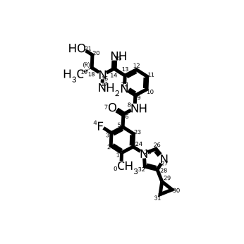 Cc1cc(F)c(C(=O)Nc2cccc(C(=N)N(N)[C@H](C)CO)n2)cc1-n1cnc(C2CC2)c1